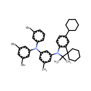 Cc1cc(N(c2cccc(C(C)(C)C)c2)c2cc(C(C)(C)C)cc(C(C)(C)C)c2)cc(N2c3ccc(C4CCCCC4)cc3C3(CCCCC3)C2(C)C)c1